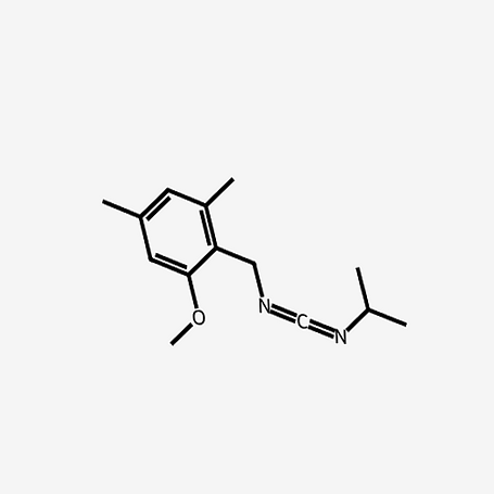 COc1cc(C)cc(C)c1CN=C=NC(C)C